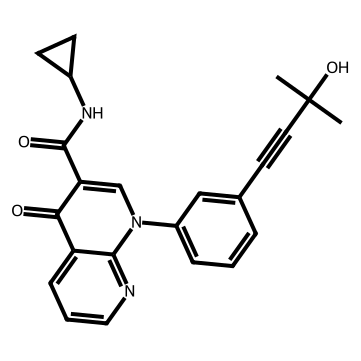 CC(C)(O)C#Cc1cccc(-n2cc(C(=O)NC3CC3)c(=O)c3cccnc32)c1